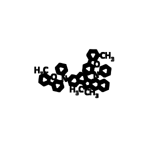 Cc1cccc2c1oc1c(N(c3ccccc3)c3ccc4c5c(ccc4c3)-c3c(cc4ccccc4c3N(c3ccccc3)c3cccc4c3oc3c(C)cccc34)C5(C)C)cccc12